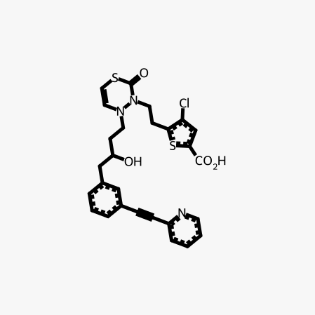 O=C(O)c1cc(Cl)c(CCN2C(=O)SC=CN2CCC(O)Cc2cccc(C#Cc3ccccn3)c2)s1